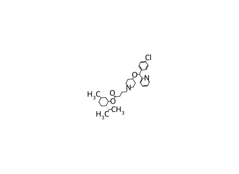 CC(C)[C@@H]1CC[C@@H](C)C[C@H]1OC(=O)CCCN1CCC(O[C@@H](c2ccc(Cl)cc2)c2ccccn2)CC1